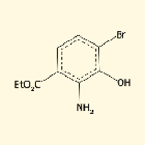 CCOC(=O)c1ccc(Br)c(O)c1N